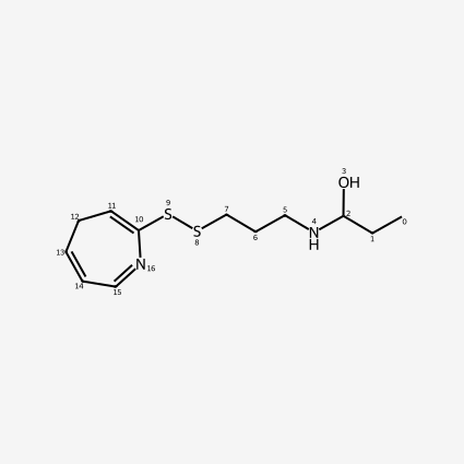 CCC(O)NCCCSSC1=CCC=CC=N1